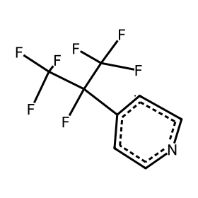 FC(F)(F)C(F)(c1[c]cncc1)C(F)(F)F